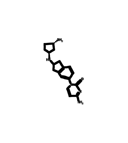 Nc1ccn(-c2ccc3c(c2)CC(N[C@H]2CC[C@H](N)C2)C3)c(=O)n1